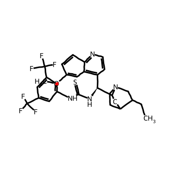 CCC1CN2CCC1CC2[C@@H](NC(=S)Nc1cc(C(F)(F)F)cc(C(F)(F)F)c1)c1ccnc2ccc(OC)cc12